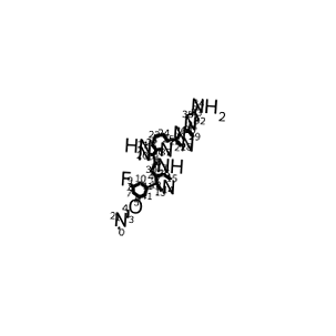 CN(C)CCOc1cc(F)cc(-c2cncc3[nH]c(-c4n[nH]c5ccc(-c6cncc(N7CC(N)C7)n6)nc45)cc23)c1